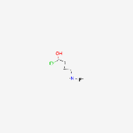 CC(C)[N]CCCC(O)Cl